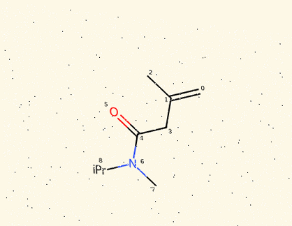 C=C(C)CC(=O)N(C)C(C)C